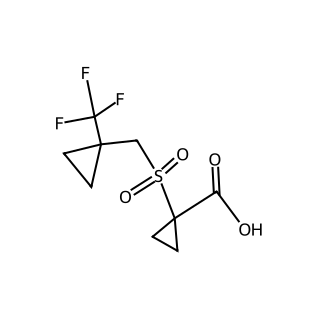 O=C(O)C1(S(=O)(=O)CC2(C(F)(F)F)CC2)CC1